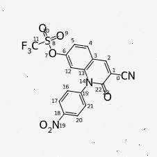 N#Cc1cc2ccc(OS(=O)(=O)C(F)(F)F)cc2n(-c2ccc([N+](=O)[O-])cc2)c1=O